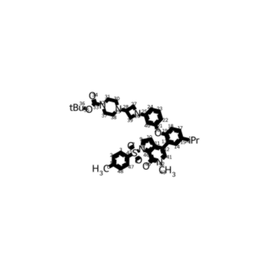 Cc1ccc(S(=O)(=O)n2ccc3c(-c4cc(C(C)C)ccc4Oc4cccc(N5CC(N6CCN(C(=O)OC(C)(C)C)CC6)C5)c4)cn(C)c(=O)c32)cc1